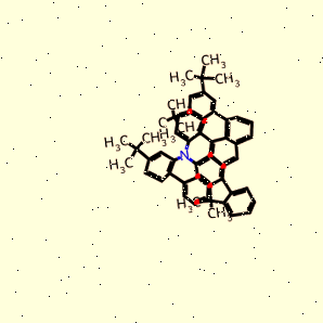 CC(C)(C)c1cc(-c2cccc3cccc(-c4ccccc4N(c4ccc5c(c4)C(C)(C)c4ccccc4-5)c4cc(C(C)(C)C)ccc4-c4ccccc4)c23)cc(C(C)(C)C)c1